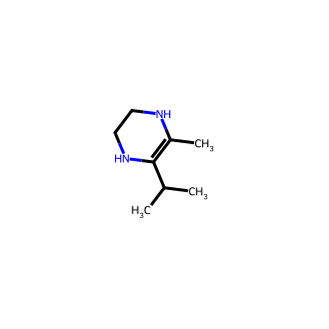 CC1=C(C(C)C)NCCN1